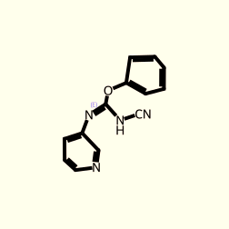 N#CN/C(=N\c1cccnc1)Oc1ccccc1